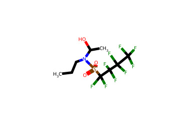 CCCN(C(C)O)S(=O)(=O)C(F)(F)C(F)(F)C(F)(F)C(F)(F)F